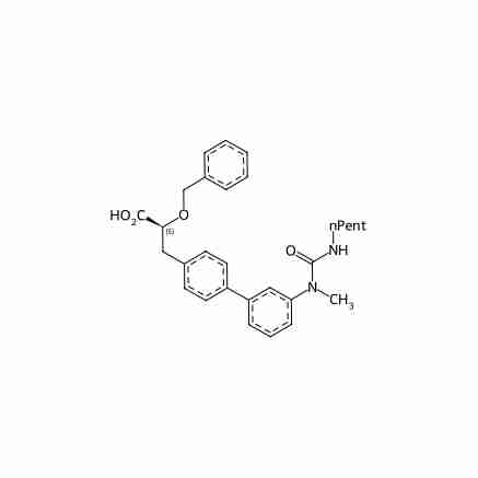 CCCCCNC(=O)N(C)c1cccc(-c2ccc(C[C@H](OCc3ccccc3)C(=O)O)cc2)c1